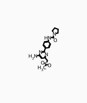 CS(=O)(=O)Cc1cc(N)nc(-c2ccc(NC(=O)N3CCCC3)cc2)n1